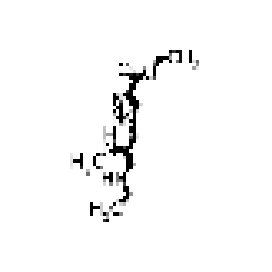 CCN/C=C(/Cn1cc(C(=O)OCC)nn1)NC